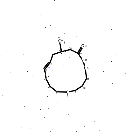 CC1C/C=C/CCCCCCCCCC(=O)C1